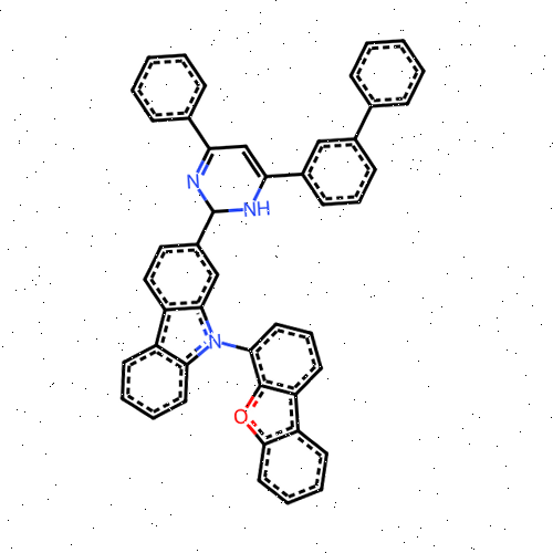 C1=C(c2cccc(-c3ccccc3)c2)NC(c2ccc3c4ccccc4n(-c4cccc5c4oc4ccccc45)c3c2)N=C1c1ccccc1